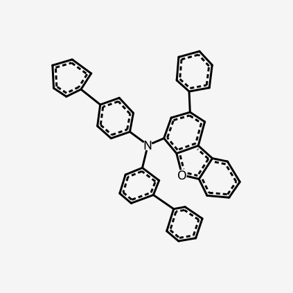 c1ccc(-c2ccc(N(c3cccc(-c4ccccc4)c3)c3cc(-c4ccccc4)cc4c3oc3ccccc34)cc2)cc1